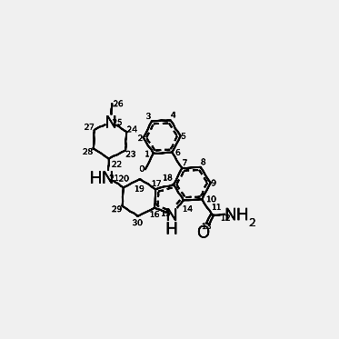 Cc1ccccc1-c1ccc(C(N)=O)c2[nH]c3c(c12)CC(NC1CCN(C)CC1)CC3